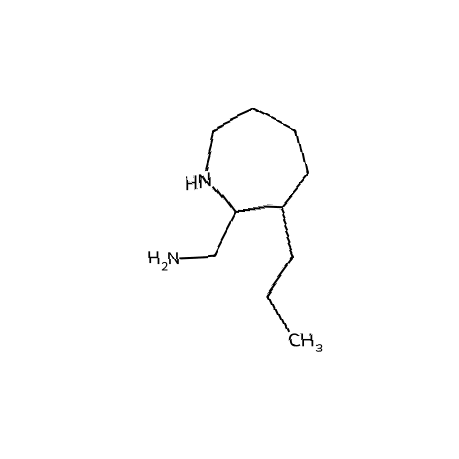 CCCC1CCCCNC1CN